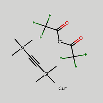 C[Si](C)(C)C#C[Si](C)(C)C.O=C([CH-]C(=O)C(F)(F)F)C(F)(F)F.[Cu+]